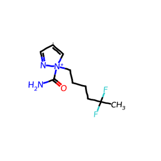 CC(F)(F)CCCC[N+]1(C(N)=O)C=[C]C=N1